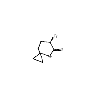 C=C1NC2(CC[C@H]1C(C)C)CC2